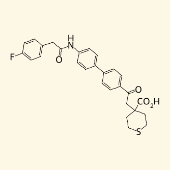 O=C(Cc1ccc(F)cc1)Nc1ccc(-c2ccc(C(=O)CC3(C(=O)O)CCSCC3)cc2)cc1